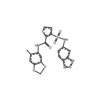 Cc1cc2c(cc1NC(=O)c1sccc1S(=O)(=O)Nc1ccc3nsnc3c1)OCO2